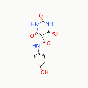 O=C1NC(=O)C(C(=O)Nc2ccc(O)cc2)C(=O)N1